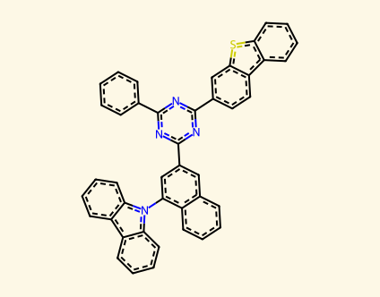 c1ccc(-c2nc(-c3cc(-n4c5ccccc5c5ccccc54)c4ccccc4c3)nc(-c3ccc4c(c3)sc3ccccc34)n2)cc1